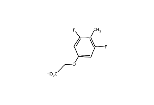 Cc1c(F)cc(OCC(=O)O)cc1F